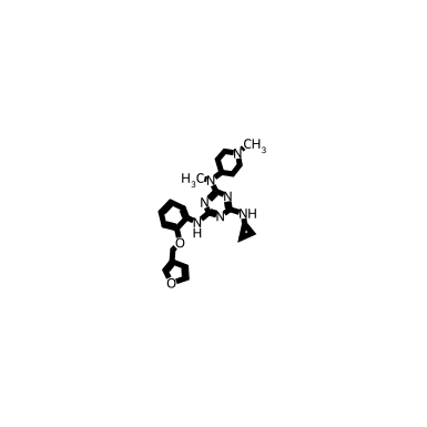 CN1CCC(N(C)c2nc(Nc3ccccc3OCc3ccoc3)nc(NC3CC3)n2)CC1